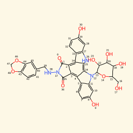 O=C1c2c(c3c4ccc(O)cc4n(C4OC(CO)C(O)C(O)C4O)c3c3[nH]c4cc(O)ccc4c23)C(=O)N1NCc1ccc2c(c1)OCO2